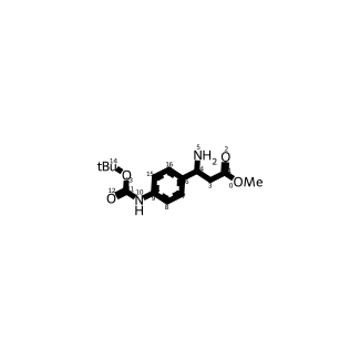 COC(=O)CC(N)c1ccc(NC(=O)OC(C)(C)C)cc1